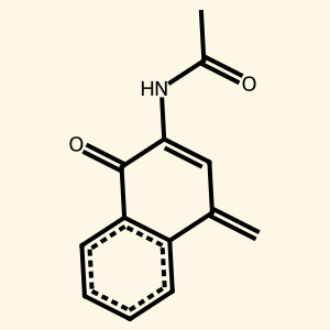 C=C1C=C(NC(C)=O)C(=O)c2ccccc21